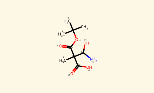 CC(C)(C)OC(=O)C(C)(C(=O)O)C(N)O